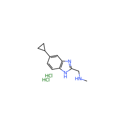 CNCc1nc2cc(C3CC3)ccc2[nH]1.Cl.Cl